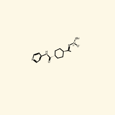 CC(=N[S@+]([O-])C(C)(C)C)[C@H]1CC[C@H](C(=O)Nc2ccncc2)CC1